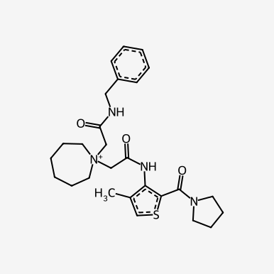 Cc1csc(C(=O)N2CCCC2)c1NC(=O)C[N+]1(CC(=O)NCc2ccccc2)CCCCCC1